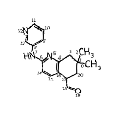 CC1(C)Cc2nc(Nc3cccnc3)ccc2C(C=O)C1